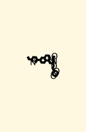 C=Cc1ccc(-c2ccc3c(c2)CCn2c-3cc(OCC3COCCO3)nc2=O)cn1